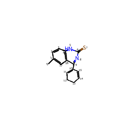 Cc1ccc2[nH]c(=S)nc(C3=CCCC=C3)c2c1